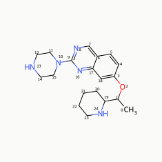 CC(Oc1ccc2cnc(N3CCNCC3)nc2c1)C1CCCCN1